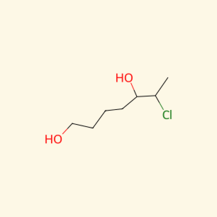 CC(Cl)C(O)CCCCO